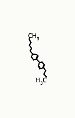 CCCCCCC1CC=C(c2ccc(CCCC)cc2)CC1